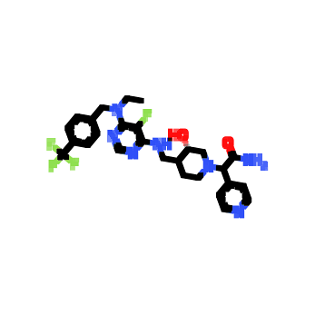 CCN(Cc1ccc(C(F)(F)F)cc1)c1ncnc(NCC2CCN(C(C(N)=O)c3ccncc3)C[C@H]2O)c1F